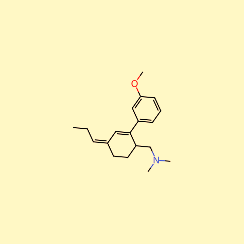 CCC=C1C=C(c2cccc(OC)c2)C(CN(C)C)CC1